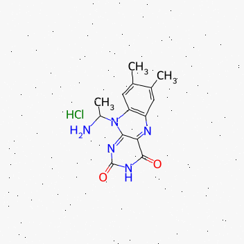 Cc1cc2nc3c(=O)[nH]c(=O)nc-3n(C(C)N)c2cc1C.Cl